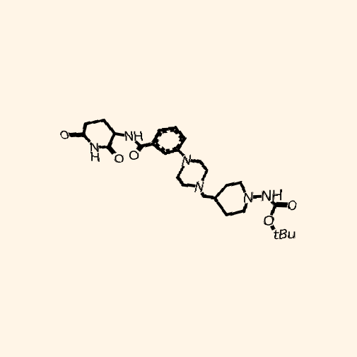 CC(C)(C)OC(=O)NN1CCC(CN2CCN(c3cccc(C(=O)NC4CCC(=O)NC4=O)c3)CC2)CC1